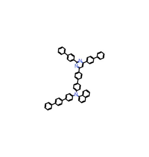 c1ccc(-c2ccc(-c3ccc(N(c4ccc(-c5ccc(-c6cc(-c7ccc(-c8ccccc8)cc7)nc(-c7ccc(-c8ccccc8)cc7)n6)cc5)cc4)c4cccc5ccccc45)cc3)cc2)cc1